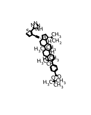 C=C(C)[C@@H]1CC[C@]2(C#Cc3ccsc3-c3nnn[nH]3)CC[C@]3(C)[C@H](CC[C@@H]4[C@@]5(C)CC=C(c6ccc(C(=O)OC(C)(C)C)cc6)C(C)(C)[C@@H]5CC[C@]43C)[C@@H]12